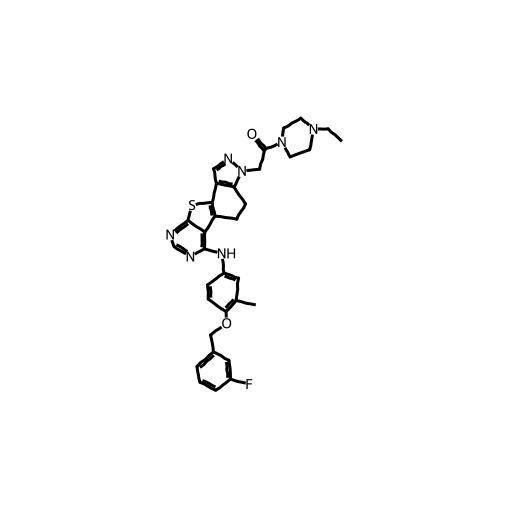 CCN1CCN(C(=O)Cn2ncc3c2CCc2c-3sc3ncnc(Nc4ccc(OCc5cccc(F)c5)c(C)c4)c23)CC1